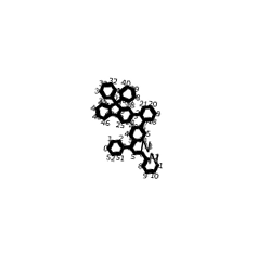 c1ccc(-c2cc(-c3ccccn3)nc3cc(-c4ccccc4-c4ccc5c(c4)C(c4ccccc4)(c4ccccc4)c4ccccc4-5)ccc23)cc1